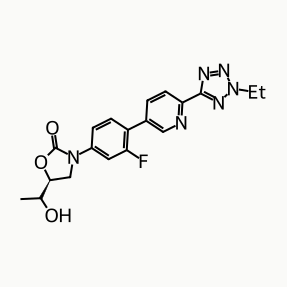 CCn1nnc(-c2ccc(-c3ccc(N4C[C@@H](C(C)O)OC4=O)cc3F)cn2)n1